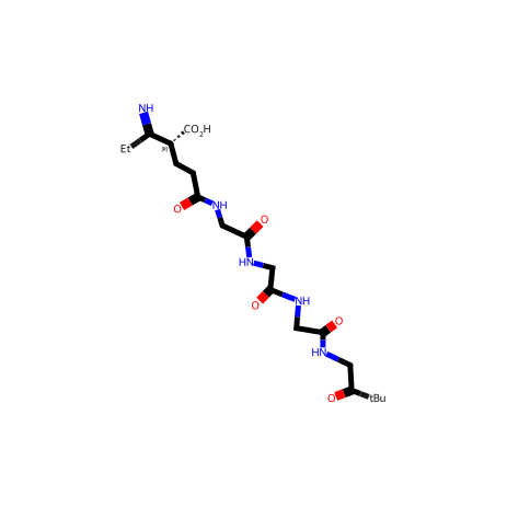 CCC(=N)[C@@H](CCC(=O)NCC(=O)NCC(=O)NCC(=O)NCC(=O)C(C)(C)C)C(=O)O